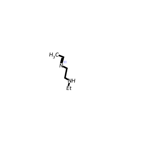 C/C=N/CCNCC